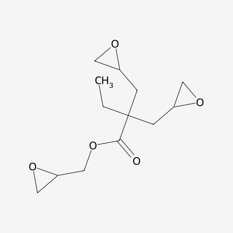 CCC(CC1CO1)(CC1CO1)C(=O)OCC1CO1